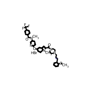 Br.COc1ccccc1/C=C/CN1CCN(C(=O)c2cc3cc(Oc4ccc(N(C)C(=O)c5ccc(C(F)(F)F)cc5)cn4)ccc3n2C)CC1